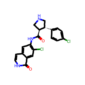 O=C(Nc1cc2cc[nH]c(=O)c2cc1Cl)[C@H]1CNC[C@@H]1c1ccc(Cl)cc1